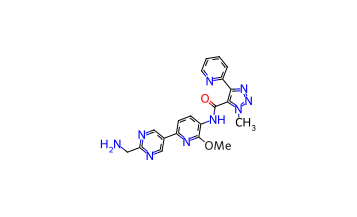 COc1nc(-c2cnc(CN)nc2)ccc1NC(=O)c1c(-c2ccccn2)nnn1C